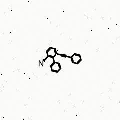 N#Cc1cccc(C#Cc2ccccc2)c1-c1ccccc1